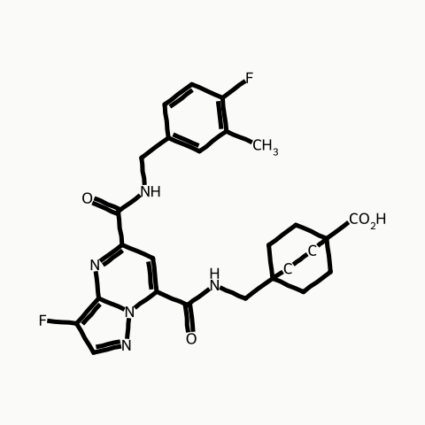 Cc1cc(CNC(=O)c2cc(C(=O)NCC34CCC(C(=O)O)(CC3)CC4)n3ncc(F)c3n2)ccc1F